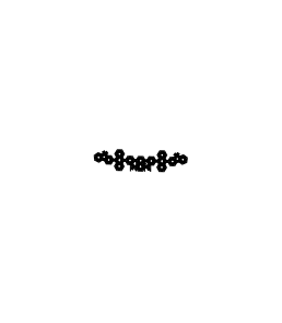 CN1c2cc(-c3c4ccccc4c(-c4ccc5c(c4)C(C)(C)c4ccccc4-5)c4ccccc34)ccc2-c2ccc3c4c(ccc1c24)N(C)c1cc(-c2c4ccccc4c(-c4ccc5c(c4)C(C)(C)c4ccccc4-5)c4ccccc24)ccc1-3